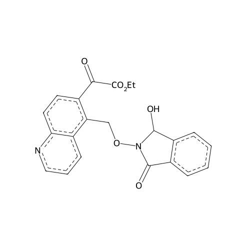 CCOC(=O)C(=O)c1ccc2ncccc2c1CON1C(=O)c2ccccc2C1O